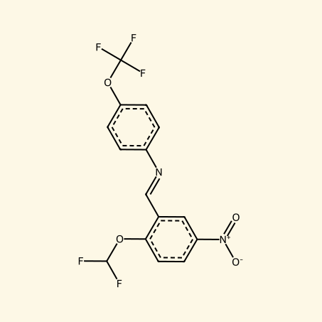 O=[N+]([O-])c1ccc(OC(F)F)c(C=Nc2ccc(OC(F)(F)F)cc2)c1